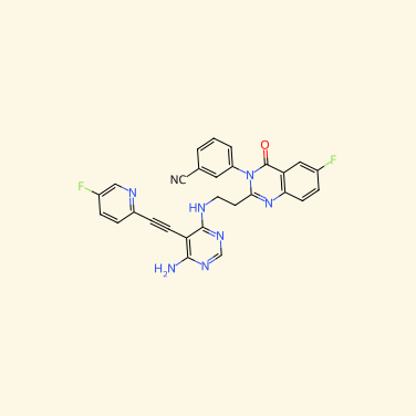 N#Cc1cccc(-n2c(CCNc3ncnc(N)c3C#Cc3ccc(F)cn3)nc3ccc(F)cc3c2=O)c1